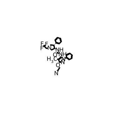 Cc1c(OCC#N)nn(-c2ccccc2)c1NC(=O)N[C@H]1CN(CC(F)(F)F)C[C@@H]1c1ccccc1